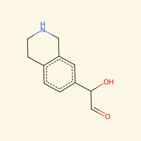 O=CC(O)c1ccc2c(c1)CNCC2